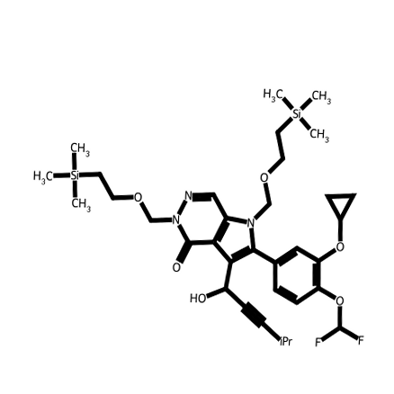 CC(C)C#CC(O)c1c(-c2ccc(OC(F)F)c(OC3CC3)c2)n(COCC[Si](C)(C)C)c2cnn(COCC[Si](C)(C)C)c(=O)c12